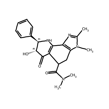 Cc1nc2c(n1C)CC(C(=O)N(C)C)C1=C2N[C@H](c2ccccc2)[C@@H](O)C1=O